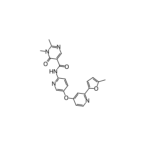 Cc1ccc(-c2cc(Oc3ccc(NC(=O)c4cnc(C)n(C)c4=O)nc3)ccn2)o1